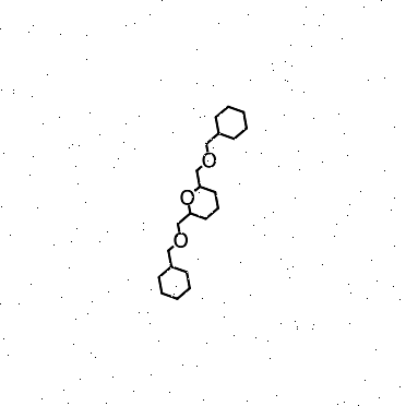 C1CCC(COCC2CCCC(COCC3CCCCC3)O2)CC1